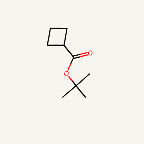 CC(C)(C)OC(=O)C1CCC1